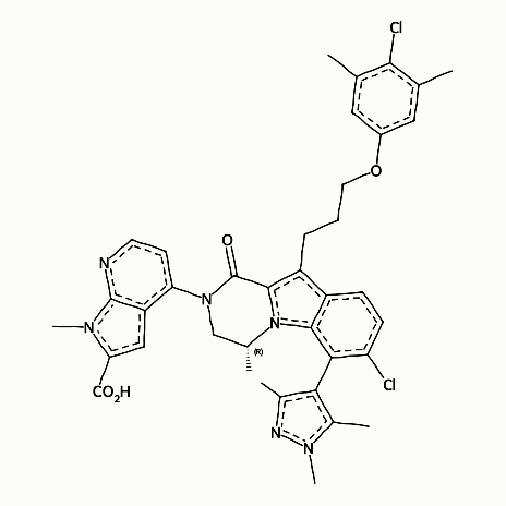 Cc1cc(OCCCc2c3n(c4c(-c5c(C)nn(C)c5C)c(Cl)ccc24)[C@H](C)CN(c2ccnc4c2cc(C(=O)O)n4C)C3=O)cc(C)c1Cl